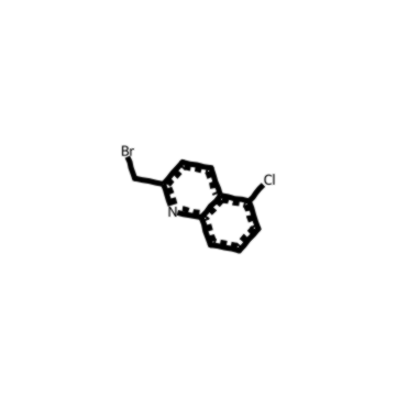 Clc1cccc2nc(CBr)ccc12